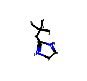 CC(C)(C)CC1=NCC=N1